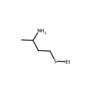 CCSCCC(C)N